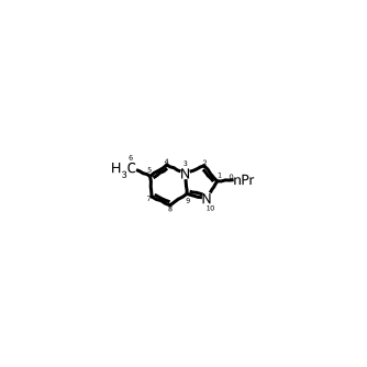 CCCc1cn2cc(C)ccc2n1